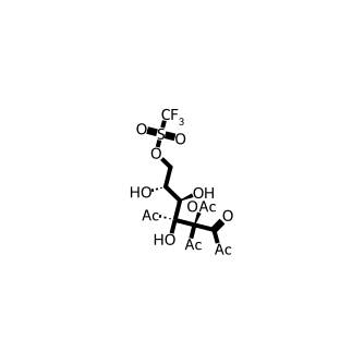 CC(=O)O[C@](C(C)=O)(C(=O)C(C)=O)[C@](O)(C(C)=O)[C@H](O)[C@H](O)COS(=O)(=O)C(F)(F)F